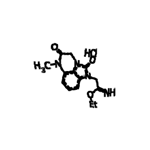 CCOC(=N)Cn1c(=O)n2c3c(cccc31)N(C)C(=O)C2.Cl